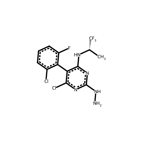 C[C@H](Nc1nc(NN)nc(Cl)c1-c1c(F)cccc1Cl)C(F)(F)F